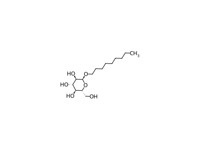 CCCCCCCCCO[C@H]1O[C@H](CO)[C@@H](O)[C@H](O)[C@H]1O